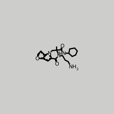 CC1(C(=O)NC2CCCCC2)Cn2c(cc3occc32)C(=O)N1CCCN